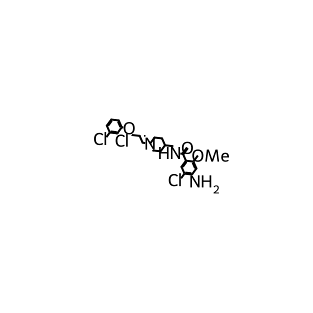 COc1cc(N)c(Cl)cc1C(=O)NCC1CCN(C[CH]COc2cccc(Cl)c2Cl)CC1